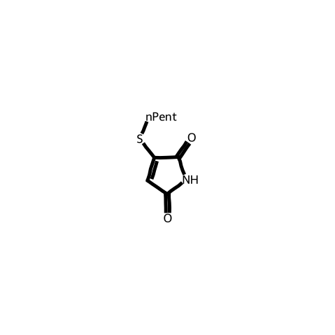 CCCCCSC1=CC(=O)NC1=O